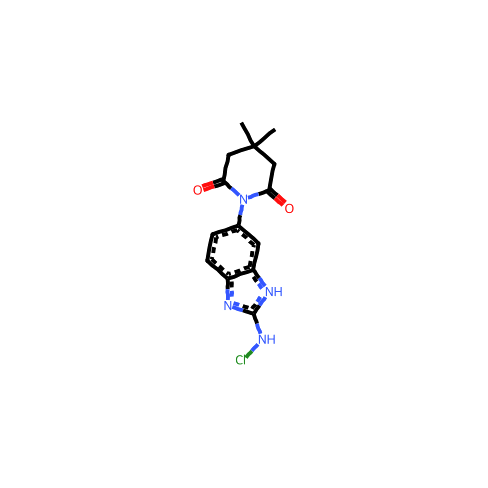 CC1(C)CC(=O)N(c2ccc3nc(NCl)[nH]c3c2)C(=O)C1